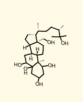 C[C@H](CC[C@H](C)C(C)(C)O)[C@H]1CC[C@H]2[C@@H]3CC(O)C4(O)CC(O)CC(O)[C@]4(C)[C@H]3CC[C@]12CO